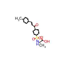 Cc1ccc(/C=C/C(=O)c2ccc(S(=O)(=O)N[C@@H](C)C(=O)O)cc2)cc1